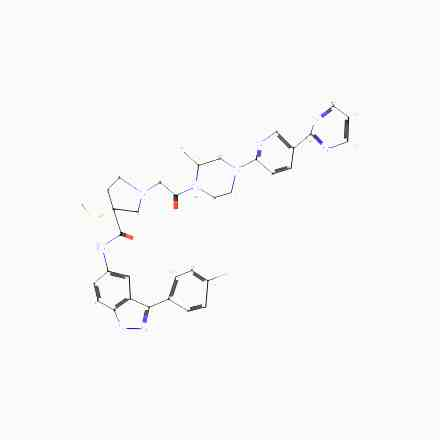 CS[C@@]1(C(=O)Nc2ccc3[nH]nc(-c4ccc(F)cc4)c3c2)CCN(CC(=O)N2CCN(c3ccc(-c4ncccn4)cn3)CC2C)C1